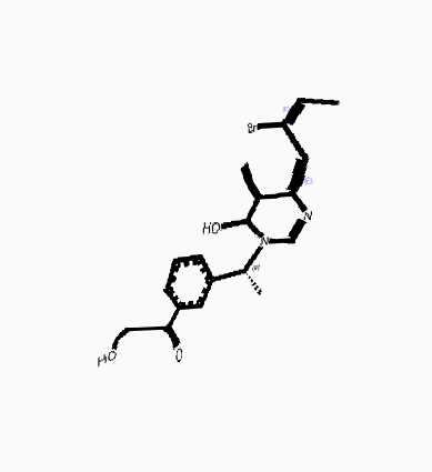 C=C1/C(=C\C(Br)=C/C)N=CN([C@H](C)c2cccc(C(=O)CO)c2)C1O